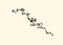 BBBBCBBBBCB